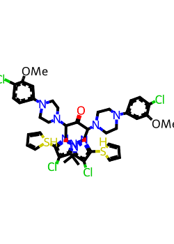 COc1cc(N2CCN(C(Cn3nc([SH]4C=CC=C4)c(Cl)c3C)C(=O)C(Cn3nc([SH]4C=CC=C4)c(Cl)c3C)N3CCN(c4ccc(Cl)c(OC)c4)CC3)CC2)ccc1Cl